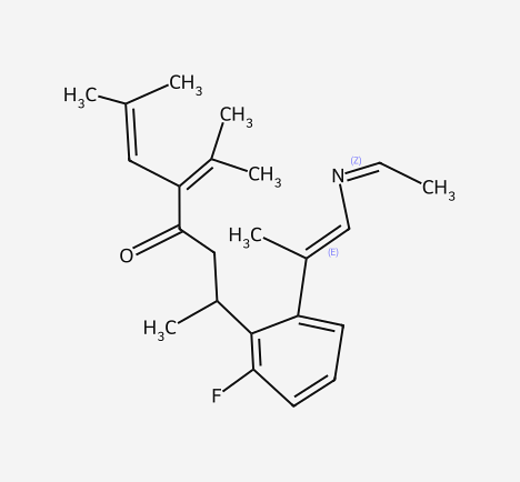 C/C=N\C=C(/C)c1cccc(F)c1C(C)CC(=O)C(C=C(C)C)=C(C)C